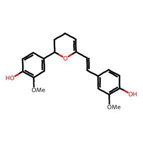 COc1cc(/C=C/C2=CCCC(c3ccc(O)c(OC)c3)O2)ccc1O